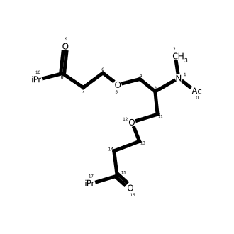 CC(=O)N(C)C(COCCC(=O)C(C)C)COCCC(=O)C(C)C